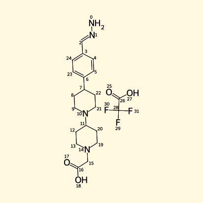 NN=Cc1ccc(C2CCN(C3CCN(CC(=O)O)CC3)CC2)cc1.O=C(O)C(F)(F)F